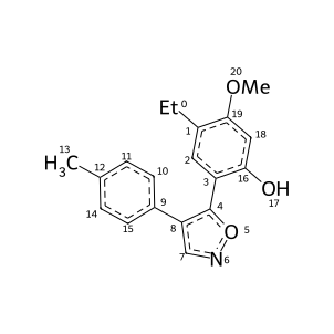 CCc1cc(-c2oncc2-c2ccc(C)cc2)c(O)cc1OC